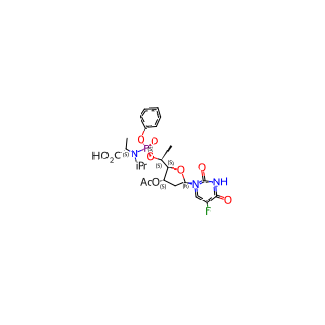 CC(=O)O[C@H]1C[C@H](n2cc(F)c(=O)[nH]c2=O)O[C@@H]1[C@H](C)O[P@](=O)(Oc1ccccc1)N(C(C)C)[C@@H](C)C(=O)O